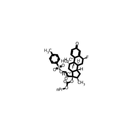 CCCOC(=O)O[C@]1(C(=O)COS(=O)(=O)c2ccc(C)cc2)[C@H](C)C[C@H]2[C@@H]3C[C@H](F)C4=CC(=O)C=C[C@]4(C)[C@@]3(F)[C@@H](O)C[C@@]21C